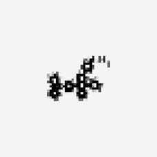 CCc1ccc(-c2ccc3c(-c4ccc(-n5c6ccccc6c6ccccc65)cc4)c4ccccc4c(-c4ccccc4)c3c2)cc1